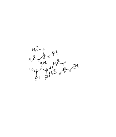 CC(C(=O)O)C(=O)O.CCN(CC)CC.CCN(CC)CC